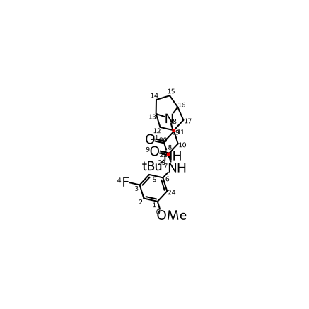 COc1cc(F)cc(NC(=O)CC2CC3CCC(C2)N3CC(=O)NC(C)(C)C)c1